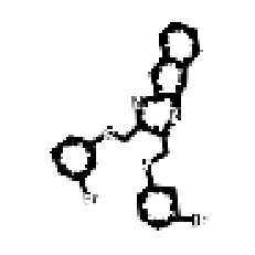 Brc1cccc(SCc2nc3cc4ccccc4cc3nc2CSc2cccc(Br)c2)c1